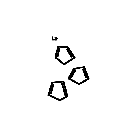 C1=CCC=C1.C1=CCC=C1.C1=CCC=C1.[La]